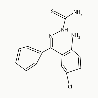 NC(=S)NN=C(c1ccccc1)c1cc(Cl)ccc1N